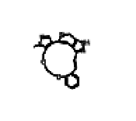 Cn1ncc2c1COCCOc1ccccc1/C=C/c1n[nH]c3cnc-2cc13